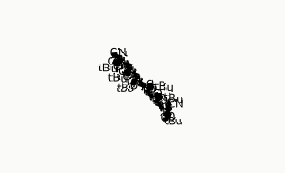 CC(C)(C)OC(=O)N(CCC#N)CCCN(CCCN(CCCCN(CCCN(CCCN(CCC#N)C(=O)OC(C)(C)C)C(=O)OC(C)(C)C)C(=O)OC(C)(C)C)C(=O)OC(C)(C)C)C(=O)OC(C)(C)C